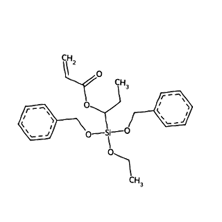 C=CC(=O)OC(CC)[Si](OCC)(OCc1ccccc1)OCc1ccccc1